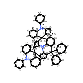 c1ccc(N2c3ccccc3C3(c4ccccc42)c2cccc4c2N2c5c(cccc5C5(c6ccccc6N(c6ccccc6)c6ccccc65)c5cccc3c52)C4(c2ccccc2)c2ccccc2)cc1